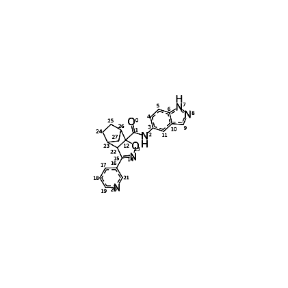 O=C(Nc1ccc2[nH]ncc2c1)C12ON=C(c3cccnc3)C1C1CCC2C1